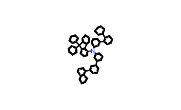 c1ccc(-c2ccccc2-c2cccc(N(c3cccc(-c4cccc(-c5cccc6ccccc56)c4)c3)c3cccc4c3-c3ccccc3C4(c3ccccc3)c3ccccc3)c2)cc1